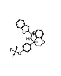 O=C(N[C@]1(c2ccc(OC(F)(F)F)cc2)CCOc2cccnc21)C1Cc2ccccc2O1